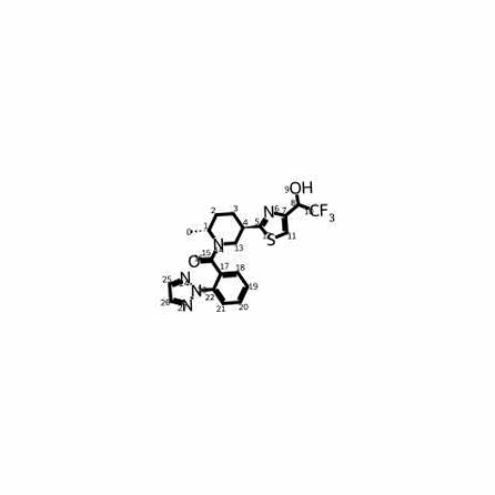 C[C@@H]1CC[C@@H](c2nc(C(O)C(F)(F)F)cs2)CN1C(=O)c1ccccc1-n1nccn1